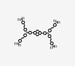 CCN(CC)c1ccc(C=Cc2ccc(N(c3ccc(C=Cc4ccc(N(CC)CC)cc4)cc3)c3ccc(-c4cc5ccc6cc(-c7ccc(N(c8ccc(C=Cc9ccc(N(CC)CC)cc9)cc8)c8ccc(C=Cc9ccc(N(CC)CC)cc9)cc8)cc7)cc7ccc(c4)c5c67)cc3)cc2)cc1